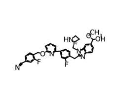 COC(O)c1ccc2nc(Cc3ccc(-c4cccc(OCc5ccc(C#N)cc5F)n4)cc3F)n(C[C@@H]3CCN3)c2c1